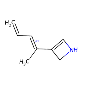 C=C/C=C(\C)C1=CNC1